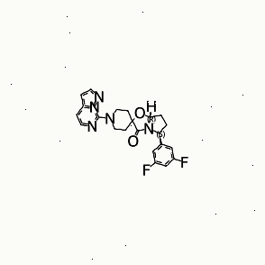 O=C1N2[C@@H](CC[C@H]2c2cc(F)cc(F)c2)OC12CCN(c1nccc3ccnn13)CC2